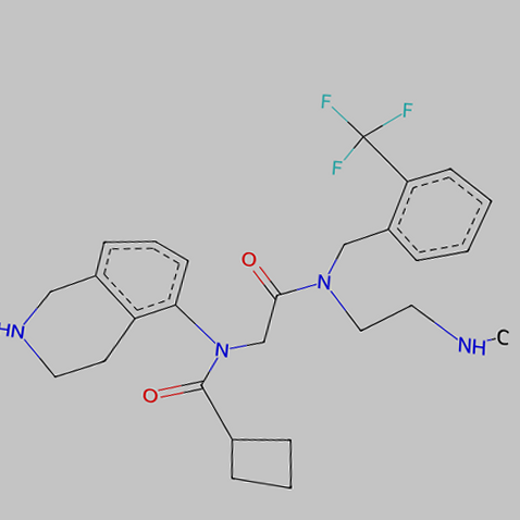 CNCCN(Cc1ccccc1C(F)(F)F)C(=O)CN(C(=O)C1CCC1)c1cccc2c1CCNC2